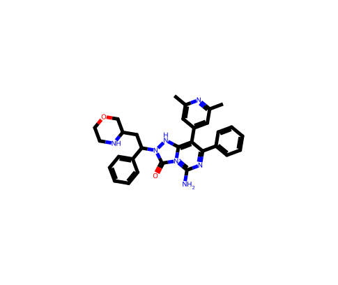 Cc1cc(-c2c(-c3ccccc3)nc(N)[n+]3c(=O)n(C(CC4COCCN4)c4ccccc4)[nH]c23)cc(C)n1